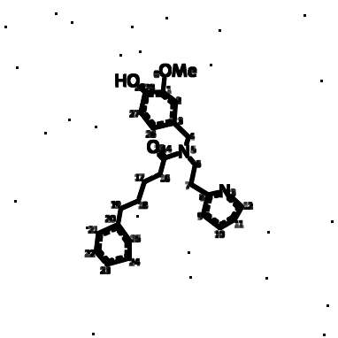 COc1cc(CN(CCc2ccccn2)C(=O)CCCCc2ccccc2)ccc1O